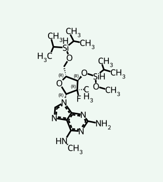 CNc1nc(N)nc2c1ncn2[C@@H]1O[C@H](CO[SiH](C(C)C)C(C)C)[C@@H](O[SiH](OC)C(C)C)[C@@]1(C)F